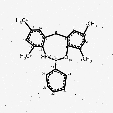 Cc1cc(C)c2c(c1)Cc1cc(C)cc(C)c1PP(c1ccccc1)O2